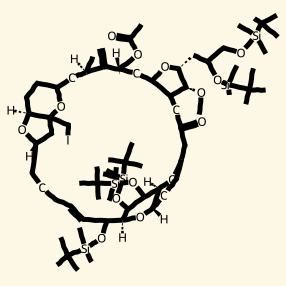 C=C1[C@H](C)CC2CC[C@@H]3O[C@@H](CCC/C=C/C(O[Si](C)(C)C(C)(C)C)[C@@H]4O[C@H]5CCC(CC(=O)CC6C(C[C@H]1OC(C)=O)O[C@H](CC(CO[Si](C)(C)C(C)(C)C)O[Si](C)(C)C(C)(C)C)[C@@H]6OC)O[C@@H]5C(O[Si](C)(C)C(C)(C)C)C4O[Si](C)(C)C(C)(C)C)CC3(CI)O2